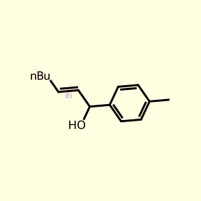 CCCC/C=C/C(O)c1ccc(C)cc1